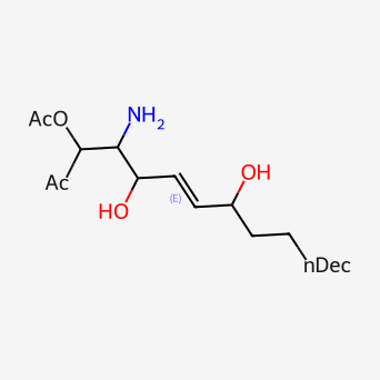 CCCCCCCCCCCCC(O)/C=C/C(O)C(N)C(OC(C)=O)C(C)=O